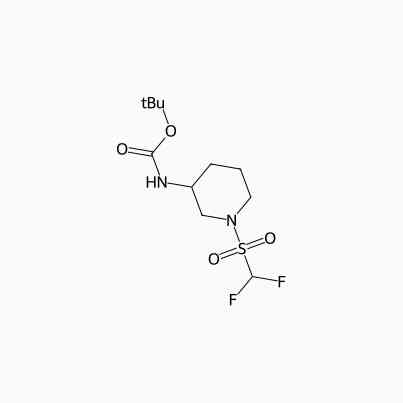 CC(C)(C)OC(=O)NC1CCCN(S(=O)(=O)C(F)F)C1